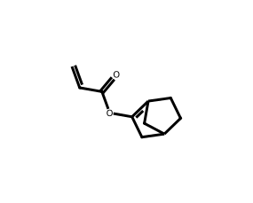 C=CC(=O)OC1=C2CCC(C2)C1